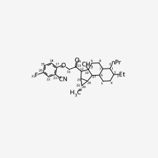 CCCC1C(CC)CCC2C1CCC1(C)C(C(=O)COc3ccc(F)cc3C#N)C3C(C21)[C@@H]3C